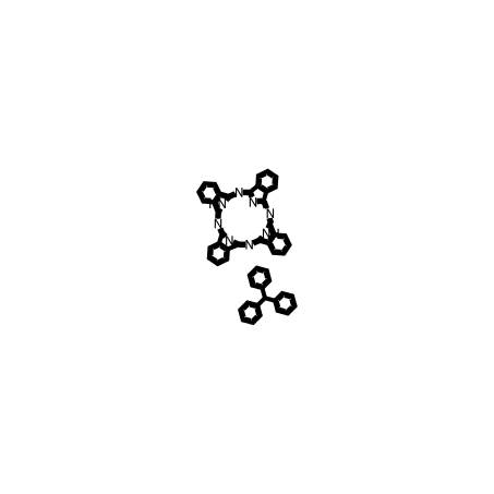 c1ccc(C(c2ccccc2)c2ccccc2)cc1.c1ccc2c(c1)-c1nc-2nc2[nH]c(nc3nc(nc4[nH]c(n1)c1ccccc41)-c1ccccc1-3)c1ccccc21